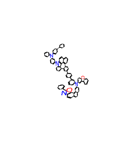 c1ccc(-c2ccc(N(c3ccccc3)c3cccc(-n4c5cccc6c5c5c7c(cccc7ccc54)-c4ccc(-c5ccc(-c7cccc(N(c8ccc9oc%10ccccc%10c9c8)c8ccc9ccc%10ccc%11nc(-c%12ccccc%12)oc%11c%10c9c8)c7)cc5)cc4-6)c3)cc2)cc1